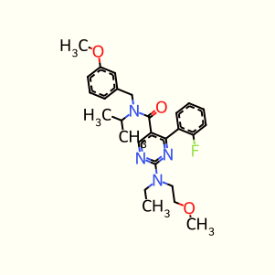 CCN(CCOC)c1ncc(C(=O)N(Cc2cccc(OC)c2)C(C)C)c(-c2ccccc2F)n1